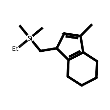 CC[Si](C)(C)CC1[C]=C(C)C2=C1CCCC2